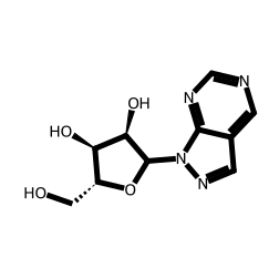 OC[C@H]1OC(n2ncc3cncnc32)[C@H](O)[C@@H]1O